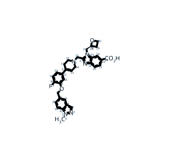 Cn1ncc2cc(COc3cc(C4=CCN(Cc5nc6ccc(C(=O)O)cc6n5C[C@@H]5CCO5)CC4)ccc3F)ccc21